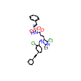 CCc1nc(Cl)c(/C=C/C(=O)NS(=O)(=O)/C=C/c2ccccc2)n1Cc1ccc(C#Cc2ccccc2)cc1Cl